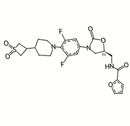 O=C(NC[C@H]1CN(c2cc(F)c(N3CCC(C4CS(=O)(=O)C4)CC3)c(F)c2)C(=O)O1)c1ccco1